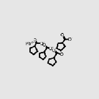 O=C([O-])C1CCCC1.O=C([O-])C1CCCC1.O=C([O-])C1CCCC1.O=C([O-])C1CCCC1.[Pb+4]